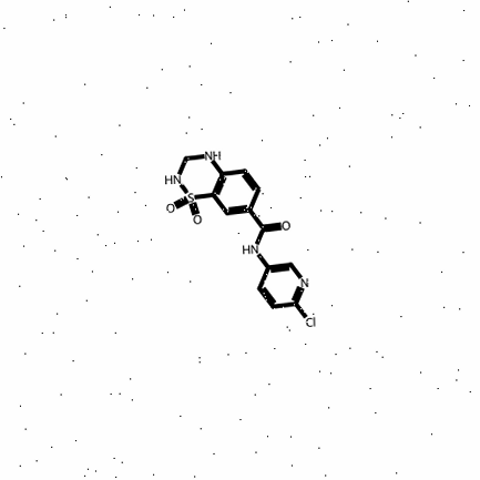 O=C(Nc1ccc(Cl)nc1)c1ccc2c(c1)S(=O)(=O)NCN2